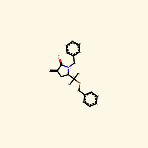 C=C1CC(C(C)(C)SCc2ccccc2)N(Cc2ccccc2)C1=O